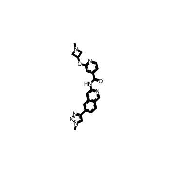 CN1CC(Oc2cc(C(=O)Nc3cc4cc(-c5cn(C)nn5)ccc4cn3)ccn2)C1